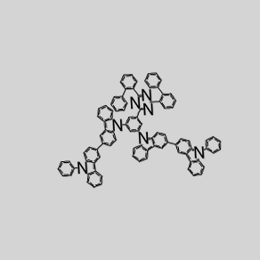 c1ccc(-c2ccccc2-c2nc(-c3cc(-n4c5ccccc5c5cc(-c6ccc7c(c6)c6ccccc6n7-c6ccccc6)ccc54)cc(-n4c5ccccc5c5cc(-c6ccc7c(c6)c6ccccc6n7-c6ccccc6)ccc54)c3)nc(-c3ccccc3-c3ccccc3)n2)cc1